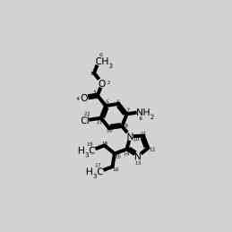 CCOC(=O)c1cc(N)c(-n2ccnc2C(CC)CC)cc1Cl